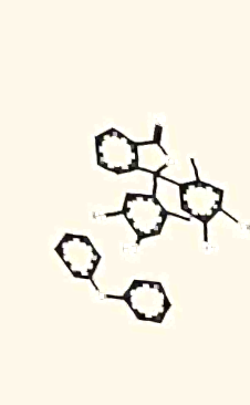 Cc1cc(O)c(C(C)C)cc1C1(c2cc(C(C)C)c(O)cc2C)OC(=O)c2ccccc21.c1ccc(Oc2ccccc2)cc1